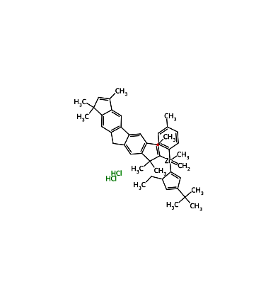 Cl.Cl.[CH2]=[Zr]([CH3])([C]1=CC(C(C)(C)C)=CC1CC)([C]1=C(C)c2cc3c(cc2C1(C)C)Cc1cc2c(cc1-3)C(C)=CC2(C)C)[c]1ccc(C)cc1